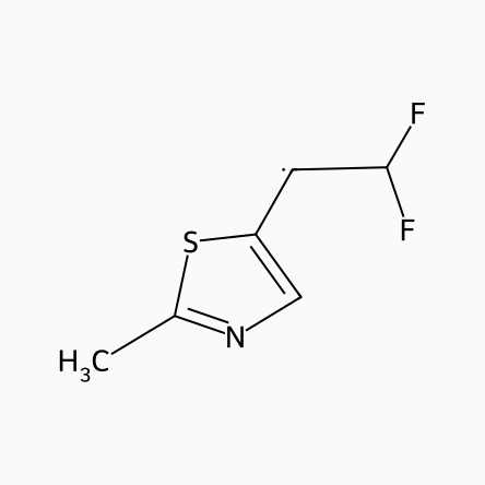 Cc1ncc([CH]C(F)F)s1